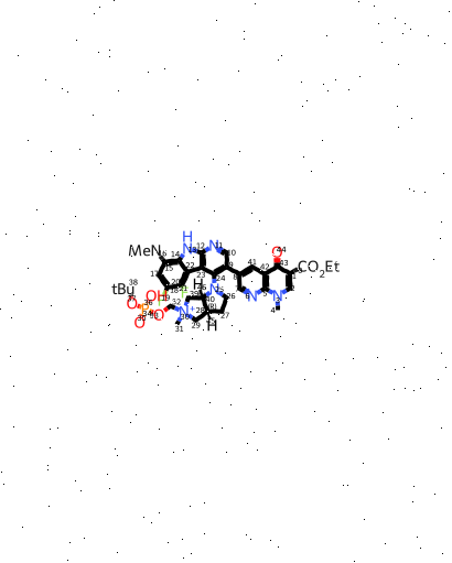 CCOC(=O)c1cn(C)c2ncc(-c3cnc4[nH]c5c(NC)cc(F)c(F)c5c4c3N3CC[C@@H]4C[N+](C)(COP(=O)(O)OC(C)(C)C)C[C@@H]43)cc2c1=O